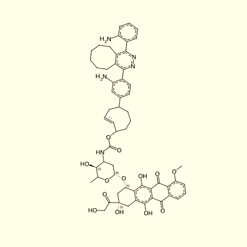 COc1cccc2c1C(=O)c1c(O)c3c(c(O)c1C2=O)C[C@@](O)(C(=O)CO)C[C@@H]3O[C@H]1CC(NC(=O)OC2/C=C/CC(c3ccc(-c4nnc(-c5ccccc5N)c5c4CCCCCC5)c(N)c3)CCC2)[C@H](O)C(C)O1